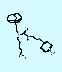 CCCCCN(CCC12CC3CC(CC(C3)C1)C2)C(=O)NCCCc1cc[n+]([O-])cc1